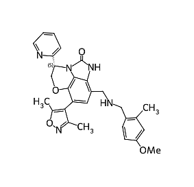 COc1ccc(CNCc2cc(-c3c(C)noc3C)c3c4c2[nH]c(=O)n4[C@@H](c2ccccn2)CO3)c(C)c1